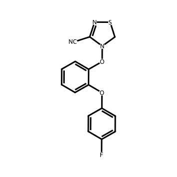 N#CC1=NSCN1Oc1ccccc1Oc1ccc(F)cc1